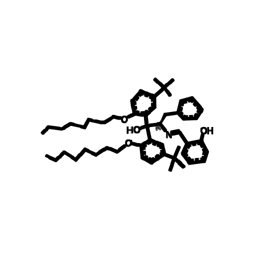 CCCCCCCCOc1ccc(C(C)(C)C)cc1C(O)(c1cc(C(C)(C)C)ccc1OCCCCCCCC)[C@@H](Cc1ccccc1)N=Cc1ccccc1O